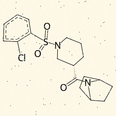 O=C([C@H]1CCCN(S(=O)(=O)c2ccccc2Cl)C1)N1C2CCC1CC2